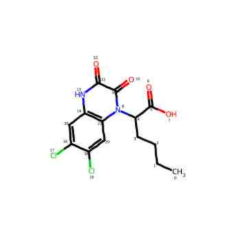 CCCCC(C(=O)O)n1c(=O)c(=O)[nH]c2cc(Cl)c(Cl)cc21